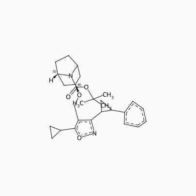 CC(C)(C)OC(=O)N1C2CC[C@H]1C[C@H](OCc1c(C3CC3c3ccccc3)noc1C1CC1)C2